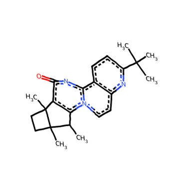 CC1c2c(c(=O)nc3c4ccc(C(C)(C)C)nc4ccn23)C2(C)CCC12C